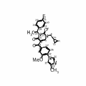 COc1cc(C(=O)c2cn(CC3CC3)c(=O)n(C(C)c3ccc(F)cc3)c2=O)ccc1-n1cnc(C)c1